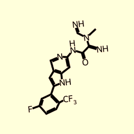 CN(C=N)C(=N)C(=O)Nc1cc2[nH]c(-c3cc(F)ccc3C(F)(F)F)cc2cn1